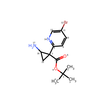 CC(C)(C)OC(=O)C1(c2ccc(Br)cn2)CC1N